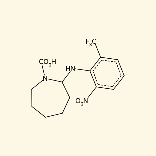 O=C(O)N1CCCCCC1Nc1c([N+](=O)[O-])cccc1C(F)(F)F